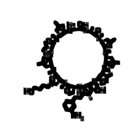 CC[C@@H]1NC(=O)C([C@H](O)[C@H](C)CCCc2cccc(N)c2)N(C)C(=O)[C@H](C(C)C)N(C)C(=O)[C@H](CC(C)C)N(C)C(=O)[C@@H](CC(C)C)N(C)C(=O)C(C)NC(=O)[C@@H](C)NC(=O)[C@@H](CC(C)C)N(C)C(=O)[C@@H](C(C)C)NC(=O)[C@H](CC(C)C)N(C)C(=O)[C@@H](CSCCCCO)N(C)C1=O